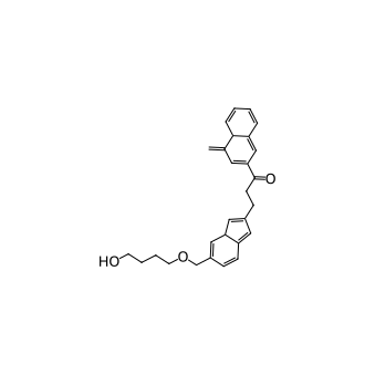 C=C1C=C(C(=O)CCC2=CC3C=C(COCCCCO)C=CC3=C2)C=C2C=CC=CC12